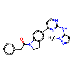 Cn1nccc1Nc1nccc(-c2ccc3c(c2)CCN3C(=O)Cc2ccccc2)n1